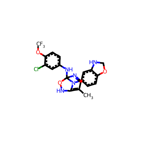 CC1=C2NOC(Nc3ccc(OC(F)(F)F)c(Cl)c3)(N=C1)N2c1ccc2c(c1)NCO2